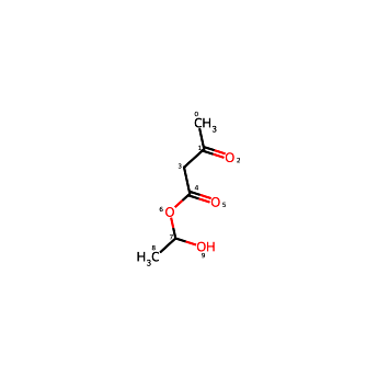 CC(=O)CC(=O)OC(C)O